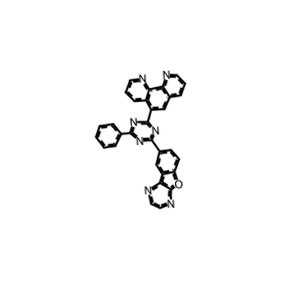 c1ccc(-c2nc(-c3ccc4oc5nccnc5c4c3)nc(-c3cc4cccnc4c4ncccc34)n2)cc1